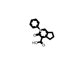 O=C(O)c1c2c(cn(-c3ccccc3)c1=O)CCC2